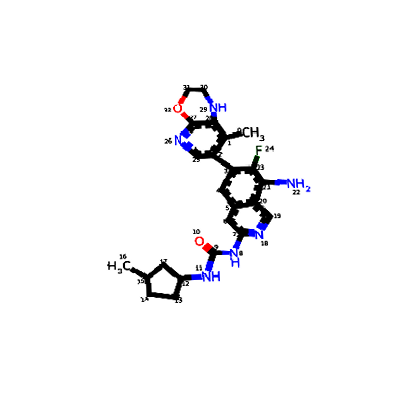 Cc1c(-c2cc3cc(NC(=O)NC4CCC(C)C4)ncc3c(N)c2F)cnc2c1NCCO2